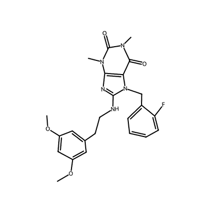 COc1cc(CCNc2nc3c(c(=O)n(C)c(=O)n3C)n2Cc2ccccc2F)cc(OC)c1